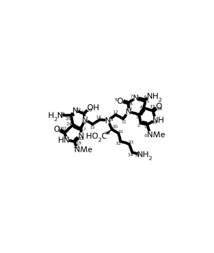 CNc1cc2c(c(N)nc(=O)n2CCN(CCN2c3nc(NC)[nH]c(=O)c3C(N)=NC2O)[C@@H](CCCCN)C(=O)O)c(=O)[nH]1